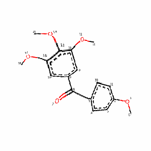 COc1ccc(C(=O)c2cc(OC)c(OC)c(OC)c2)cc1